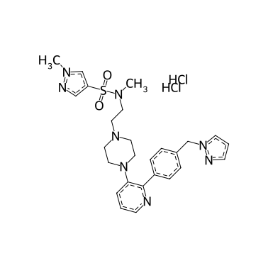 CN(CCN1CCN(c2cccnc2-c2ccc(Cn3cccn3)cc2)CC1)S(=O)(=O)c1cnn(C)c1.Cl.Cl